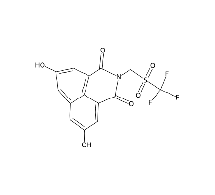 O=C1c2cc(O)cc3cc(O)cc(c23)C(=O)N1CS(=O)(=O)C(F)(F)F